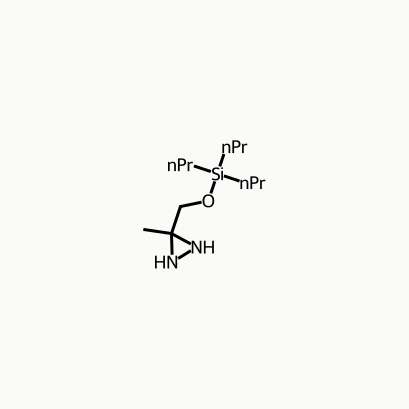 CCC[Si](CCC)(CCC)OCC1(C)NN1